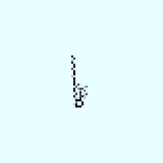 CCCCCCCCCCCC(Cc1ccccc1)C(C(=O)[O-])[N+](C)(C)C